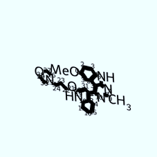 COc1ccc2[nH]c3nc(C)nc(C4=C5C=CC=CC5NC(OCCCN5CCOCC5)=C4)c3c2c1